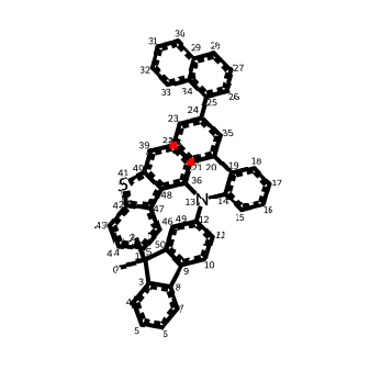 CC1(C)c2ccccc2-c2ccc(N(c3ccccc3-c3cccc(-c4cccc5ccccc45)c3)c3cccc4sc5ccccc5c34)cc21